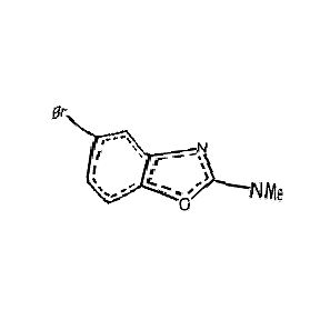 CNc1nc2cc(Br)ccc2o1